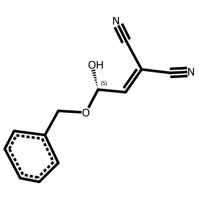 N#CC(C#N)=C[C@@H](O)OCc1ccccc1